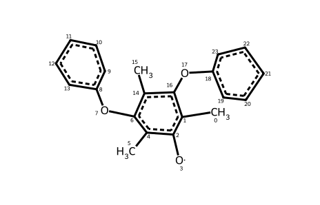 Cc1c([O])c(C)c(Oc2ccccc2)c(C)c1Oc1ccccc1